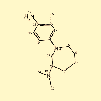 Cc1cc(N2CCCCC(N(C)C)C2)ccc1N